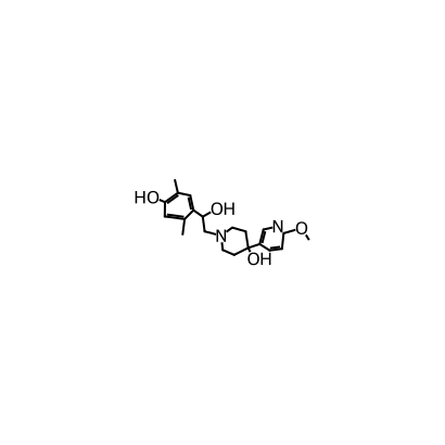 COc1ccc(C2(O)CCN(CC(O)c3cc(C)c(O)cc3C)CC2)cn1